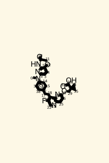 CN(c1ccc2c(n1)NC(=O)CO2)C12CCC(CCc3c(F)cnc4ccc(OCC5(C(=O)O)CC5)nc34)(CC1)OC2